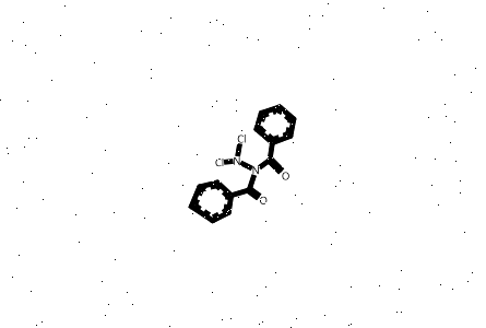 O=C(c1ccccc1)N(C(=O)c1ccccc1)N(Cl)Cl